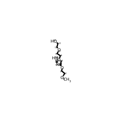 COCCOCCOCCOCCO.N=[N+]=N